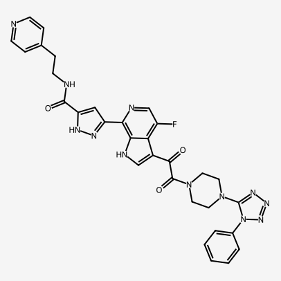 O=C(NCCc1ccncc1)c1cc(-c2ncc(F)c3c(C(=O)C(=O)N4CCN(c5nnnn5-c5ccccc5)CC4)c[nH]c23)n[nH]1